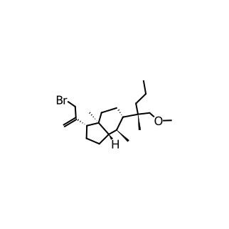 C=C(CBr)[C@H]1CC[C@H]2[C@H](C)[C@@H]([C@](C)(CCC)COC)CC[C@]12C